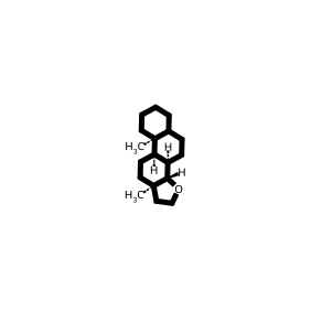 C[C@@]12CCO[C@H]1[C@@H]1CCC3CCCC[C@]3(C)[C@@H]1CC2